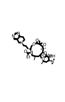 CCC(=O)N1C[C@H](C)C[C@@](C)(OC)[C@H](O[C@@H]2O[C@H](C)C[C@H](N(C)C)[C@H]2O)[C@@H](C)C(=O)C(C)(C)C(=O)OC[C@H]1CCCN1CCc2ncncc2C1